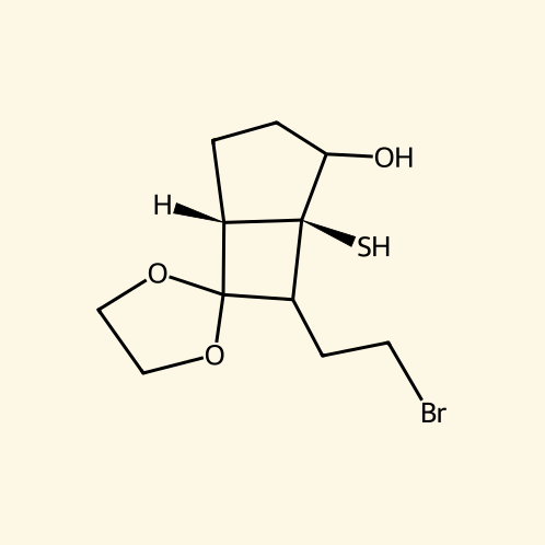 OC1CC[C@H]2C3(OCCO3)C(CCBr)[C@@]12S